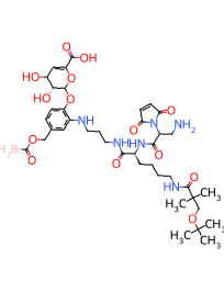 BC(=O)OCc1ccc(OC2OC(C(=O)O)=CC(O)[C@H]2O)c(NCCCNC(=O)[C@H](CCCCNC(=O)C(C)(C)COC(C)(C)C)NC(=O)C(CN)N2C(=O)C=CC2=O)c1